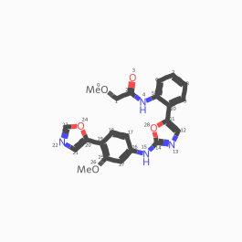 COCC(=O)Nc1ccccc1-c1cnc(Nc2ccc(-c3cnco3)c(OC)c2)o1